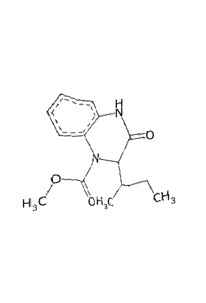 CCC(C)C1C(=O)Nc2ccccc2N1C(=O)OC